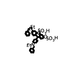 CCN(Cc1ccccc1)c1ccc(C(c2ccc(N(CC)Cc3ccccc3)cc2)c2ccc(OS(=O)(=O)O)cc2OS(=O)(=O)O)cc1